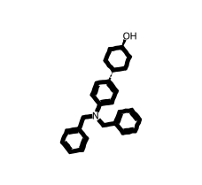 O[C@H]1CC[C@H](c2ccc(N(Cc3ccccc3)Cc3ccccc3)cc2)CC1